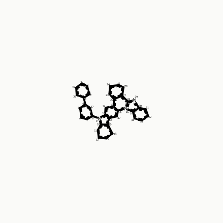 c1ccc(-c2cccc(-n3c4ccccc4c4cc5c(cc43)c3ccccc3c3nc4ccccc4n53)c2)cc1